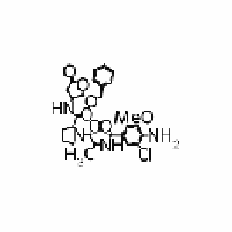 COc1cc(N)c(Cl)cc1C(=O)N[C@@H](C)C(=O)N1CCC[C@H]1C(=O)N[C@H]1CC(=O)OC1OCc1ccccc1